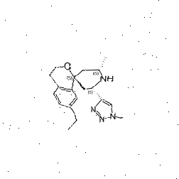 CCc1ccc2c(c1)[C@]1(C[C@@H](c3cn(C)nn3)N[C@@H](C)C1)OCC2